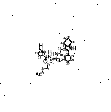 CC(=O)CCCCC[C@H](NC(=O)c1cc[nH]n1)C(=O)NCCc1c(-c2ccccc2)[nH]c2ccccc12